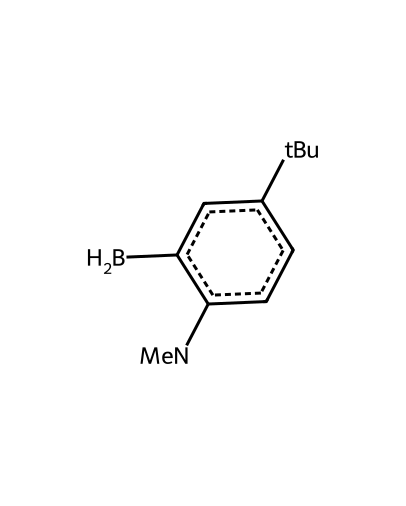 Bc1cc(C(C)(C)C)ccc1NC